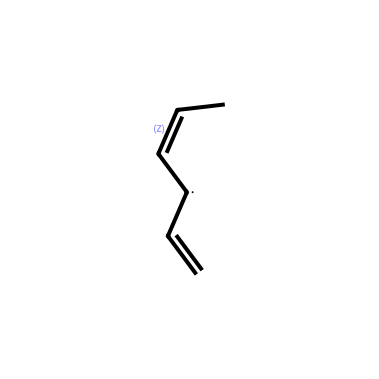 C=C[CH]/C=C\C